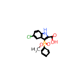 COP(=O)(c1ccccc1)c1c(C(=O)O)[nH]c2ccc(Cl)cc12